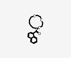 O=C(c1cccc2ccccc12)N1CCCCCCCCCCCC1